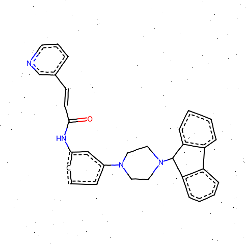 O=C(C=Cc1cccnc1)Nc1cccc(N2CCN(C3c4ccccc4-c4ccccc43)CC2)c1